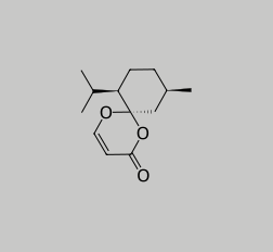 CC(C)[C@H]1CC[C@@H](C)C[C@]12OC=CC(=O)O2